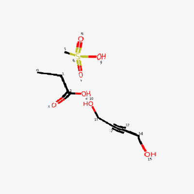 CCC(=O)O.CS(=O)(=O)O.OCC#CCO